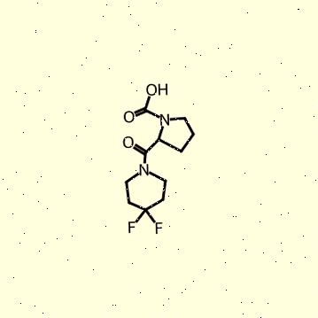 O=C(C1CCCN1C(=O)O)N1CCC(F)(F)CC1